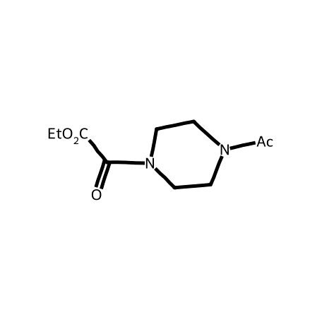 CCOC(=O)C(=O)N1CCN(C(C)=O)CC1